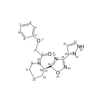 O=C(COc1ccccc1)N1CCCC[C@@H]1c1nc(-c2cc[nH]n2)no1